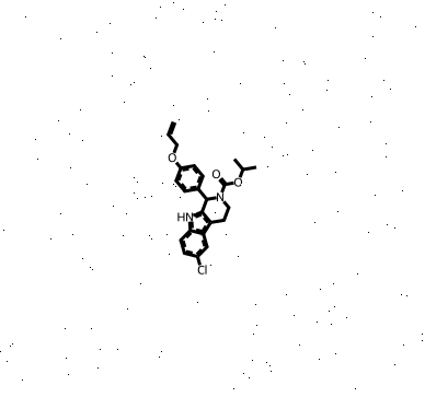 C=CCOc1ccc(C2c3[nH]c4ccc(Cl)cc4c3CCN2C(=O)OC(C)C)cc1